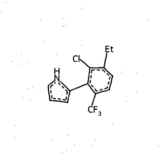 CCc1ccc(C(F)(F)F)c(-c2ccc[nH]2)c1Cl